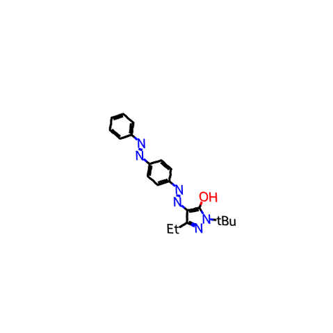 CCc1nn(C(C)(C)C)c(O)c1N=Nc1ccc(N=Nc2ccccc2)cc1